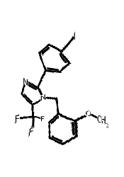 COc1ccccc1Cn1c(C(F)(F)F)cnc1-c1ccc(I)cc1